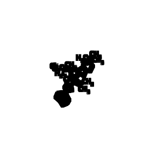 C[C](C)=[Zr+2]([C]1=CC(C23CC4CC(CC(C4)C2)C3)=CC1C)[c]1cc(C(C)(C)C)cc2c1Cc1ccc(C(C)(C)C)cc1-2.[Cl-].[Cl-]